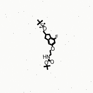 CC(C)(C)OC(=O)NCCOc1cc(F)c2c(c1)CC(CO[Si](C)(C)C(C)(C)C)C2